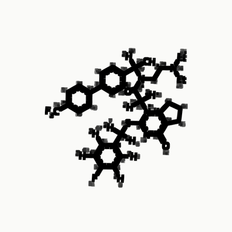 [2H]c1c([2H])c(C([2H])([2H])Sc2nc(=O)c3c(n2C([2H])([2H])C(=O)N(CCN(CC)CC)C([2H])(C)c2ccc(-c4ccc(C(F)(F)F)cc4)cc2)CCC3)c([2H])c([2H])c1F